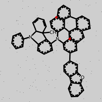 CC12C=CC=CC1N(c1ccccc1)c1cccc(N(c3cccc(-c4ccc5c(c4)oc4ccccc45)c3)c3ccccc3-c3cccc4cccc(-c5ccccc5)c34)c12